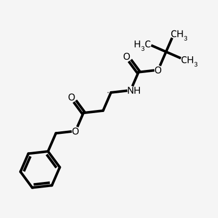 CC(C)(C)OC(=O)N[CH]CC(=O)OCc1ccccc1